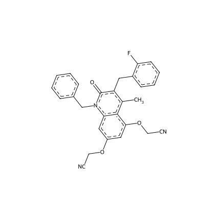 Cc1c(Cc2ccccc2F)c(=O)n(Cc2ccccc2)c2cc(OCC#N)cc(OCC#N)c12